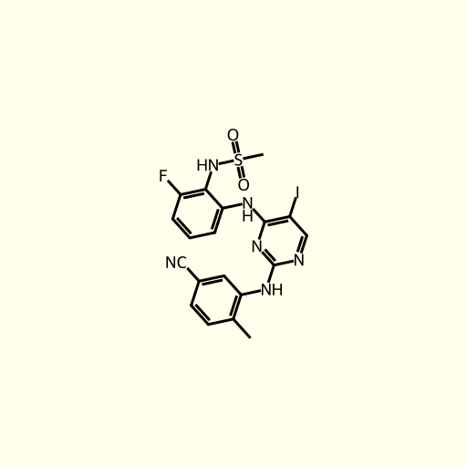 Cc1ccc(C#N)cc1Nc1ncc(I)c(Nc2cccc(F)c2NS(C)(=O)=O)n1